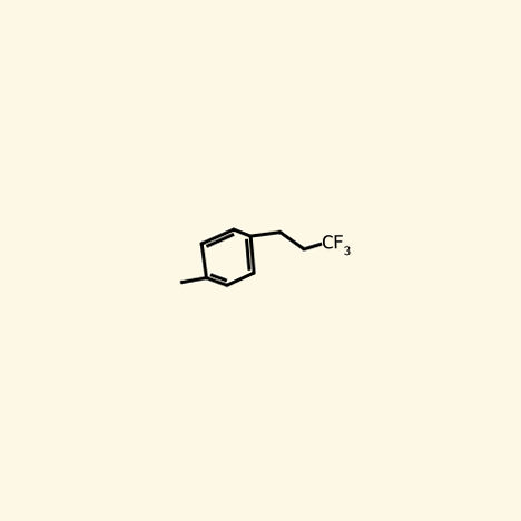 Cc1ccc(CCC(F)(F)F)cc1